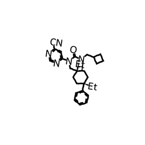 CC[C@]1(CN(C(=O)NCC2CCC2)c2cc(C#N)ncn2)CC[C@@](CC)(c2ccccc2)CC1